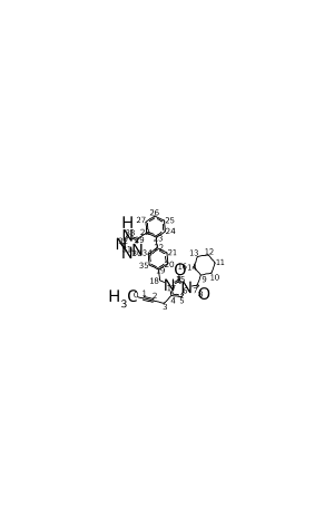 CC#CCc1cn(C(=O)C2CCCCC2)c(=O)n1Cc1ccc(-c2ccccc2-c2nnn[nH]2)cc1